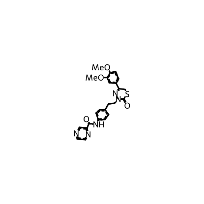 COc1ccc(C2=NN(CCc3ccc(NC(=O)c4cnccn4)cc3)C(=O)SC2)cc1OC